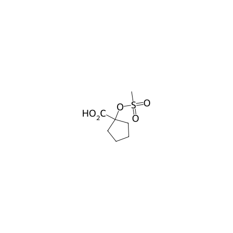 CS(=O)(=O)OC1(C(=O)O)CCCC1